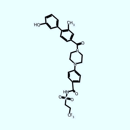 Cc1cc(C(=O)N2CCN(c3ccc(C(=O)NS(=O)(=O)CCC(F)(F)F)cc3)CC2)ccc1-c1cccc(O)c1